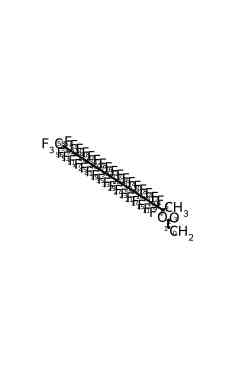 C=CC(=O)OC(C)C(F)(F)C(F)(F)C(F)(F)C(F)(F)C(F)(F)C(F)(F)C(F)(F)C(F)(F)C(F)(F)C(F)(F)C(F)(F)C(F)(F)C(F)(F)C(F)(F)C(F)(F)C(F)(F)C(F)(F)C(F)(F)F